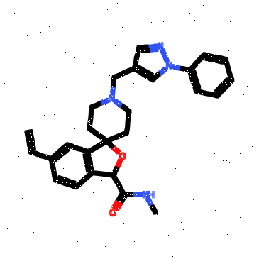 C=Cc1ccc2c(c1)C1(CCN(Cc3cnn(-c4ccccc4)c3)CC1)OC2C(=O)NC